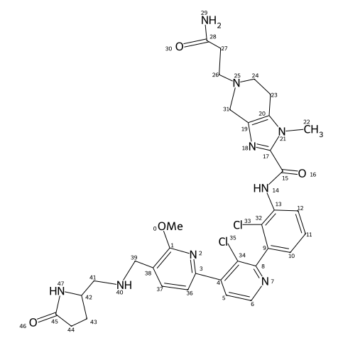 COc1nc(-c2ccnc(-c3cccc(NC(=O)c4nc5c(n4C)CCN(CCC(N)=O)C5)c3Cl)c2Cl)ccc1CNCC1CCC(=O)N1